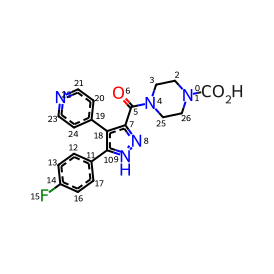 O=C(O)N1CCN(C(=O)c2n[nH]c(-c3ccc(F)cc3)c2-c2ccncc2)CC1